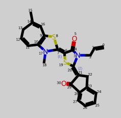 C=CCn1c(=O)/c(=C2\SC3=C(C=CCC(C)=C3)N2C)s/c1=C1/Cc2ccccc2C1=O